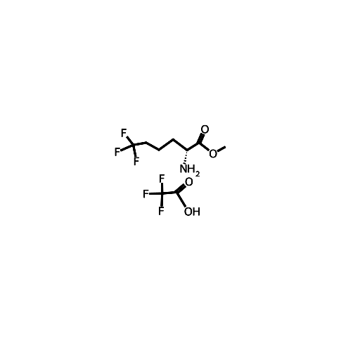 COC(=O)[C@H](N)CCCC(F)(F)F.O=C(O)C(F)(F)F